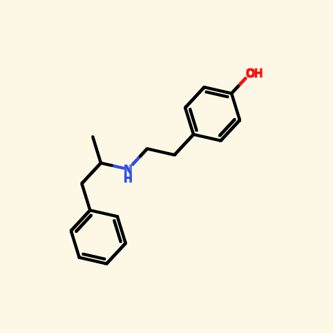 CC(Cc1ccccc1)NCCc1ccc(O)cc1